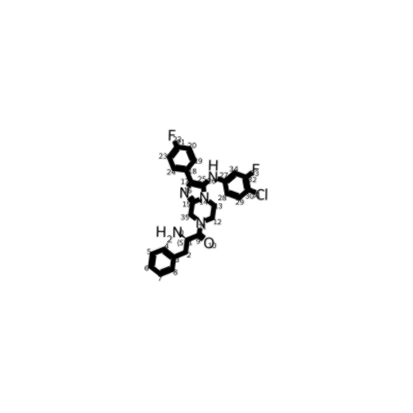 N[C@@H](Cc1ccccc1)C(=O)N1CCn2c(nc(-c3ccc(F)cc3)c2Nc2ccc(Cl)c(F)c2)C1